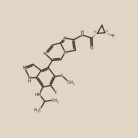 CSc1c(F)c(NC(C)C)c2[nH]ncc2c1-c1cn2cc(NC(=O)[C@@H]3C[C@@H]3F)nc2cn1